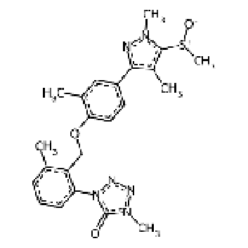 Cc1cc(-c2nn(C)c([S+](C)[O-])c2C)ccc1OCc1c(C)cccc1-n1nnn(C)c1=O